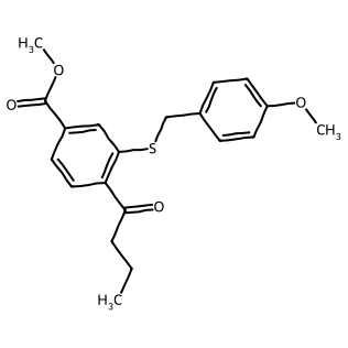 CCCC(=O)c1ccc(C(=O)OC)cc1SCc1ccc(OC)cc1